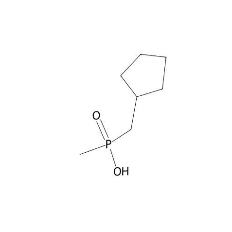 CP(=O)(O)CC1CCCC1